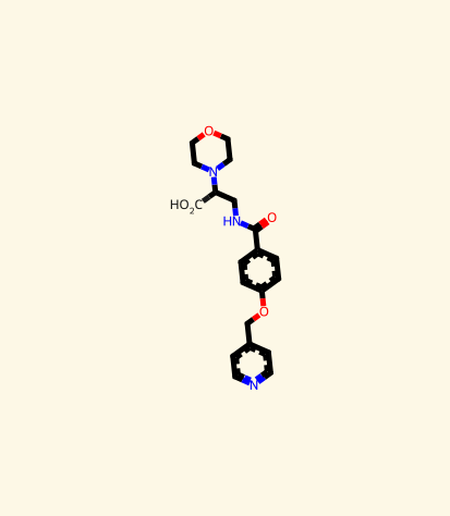 O=C(NCC(C(=O)O)N1CCOCC1)c1ccc(OCc2ccncc2)cc1